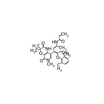 C=CC(=O)N/C(C)=C/C(=C(\C=C)Oc1c(C)cccc1C)c1cn(C)c(=O)c2c1NC(=O)C(C)(C)O2